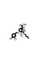 CCCCOC(=O)[C@@]1(N)[C@H]2C(C[C@H]1OCc1ccc(Cl)c(Cl)c1)[C@]2(F)C(=O)O